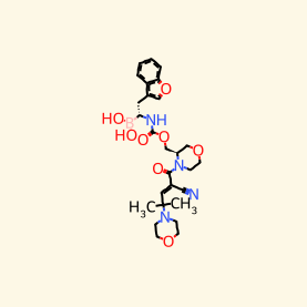 CC(C)(/C=C(\C#N)C(=O)N1CCOC[C@@H]1COC(=O)N[C@@H](Cc1coc2ccccc12)B(O)O)N1CCOCC1